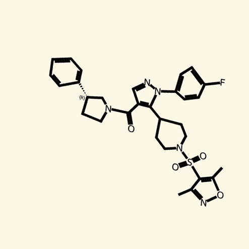 Cc1noc(C)c1S(=O)(=O)N1CCC(c2c(C(=O)N3CC[C@H](c4ccccc4)C3)cnn2-c2ccc(F)cc2)CC1